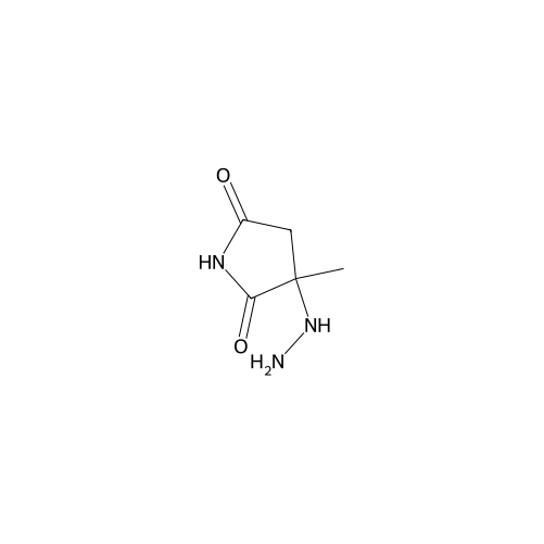 CC1(NN)CC(=O)NC1=O